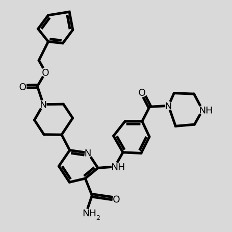 NC(=O)c1ccc(C2CCN(C(=O)OCc3ccccc3)CC2)nc1Nc1ccc(C(=O)N2CCNCC2)cc1